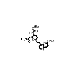 COc1ccc2nccc(C=C[C@@H]3CC[C@@H](NC(=O)OC(C)(C)C)[C@H](CC(N)=O)O3)c2n1